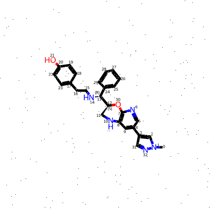 Cn1cc(-c2cnc3c(c2)NC[C@@H]([C@H](NCCc2ccc(O)cc2)c2ccccc2)O3)cn1